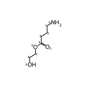 NCCCC(=O)OCCO